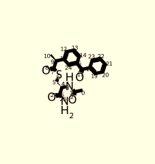 CC(=O)N[C@@H](CSC(=O)[C@@H](C)c1cccc(C(=O)c2ccccc2)c1)C(N)=O